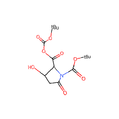 CC(C)(C)OC(=O)OC(=O)C1C(O)CC(=O)N1C(=O)OC(C)(C)C